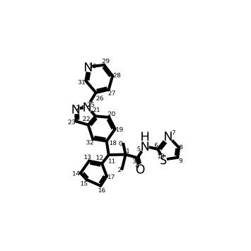 CC(C)(C(=O)Nc1nccs1)C(c1ccccc1)c1ccc2c(cnn2-c2cccnc2)c1